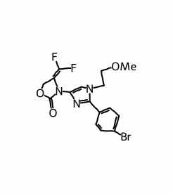 COCCn1cc(N2C(=O)OCC2=C(F)F)nc1-c1ccc(Br)cc1